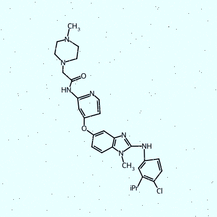 CC(C)c1cc(Nc2nc3cc(Oc4ccnc(NC(=O)CN5CCN(C)CC5)c4)ccc3n2C)ccc1Cl